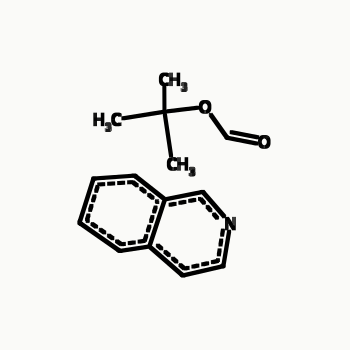 CC(C)(C)OC=O.c1ccc2cnccc2c1